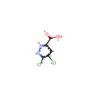 O=C(O)c1cc(Cl)c(Cl)nn1